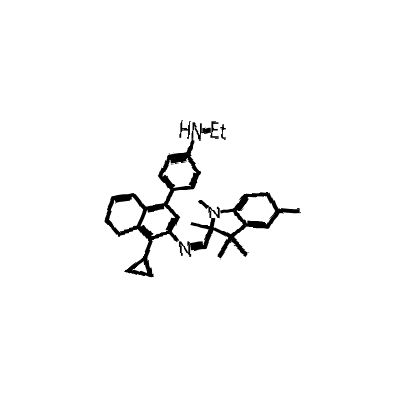 CCNc1ccc(-c2cc(/N=C\C3(C)N(C)C4=CCC(C)C=C4C3(C)C)c(C3CC3)c3c2C=CCC3)cc1